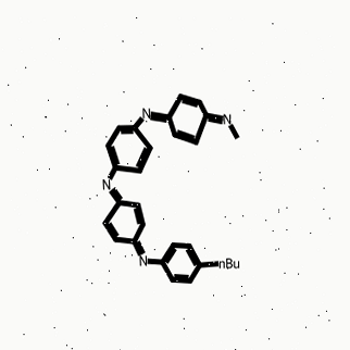 CCCCc1ccc(N=C2C=CC(=Nc3ccc(N=C4C=CC(=NC)C=C4)cc3)C=C2)cc1